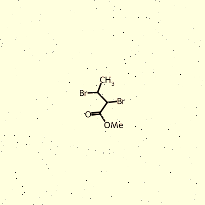 COC(=O)C(Br)C(C)Br